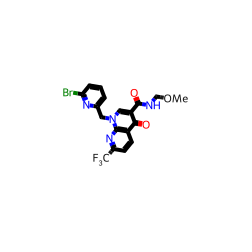 COCNC(=O)c1cn(Cc2cccc(Br)n2)c2nc(C(F)(F)F)ccc2c1=O